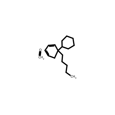 C=O.CCCCCC1(C2CCCCC2)C=CC=CC1